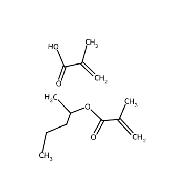 C=C(C)C(=O)O.C=C(C)C(=O)OC(C)CCC